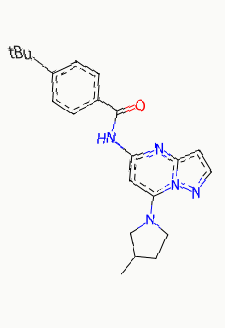 CC1CCN(c2cc(NC(=O)c3ccc(C(C)(C)C)cc3)nc3ccnn23)C1